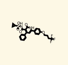 O=C(NS(=O)(=O)C1CC1)c1c(-c2ccccc2)cc(-c2ccc(OCCCC(F)(F)F)cc2)[nH]c1=O